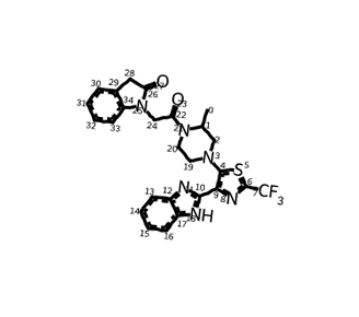 CC1CN(c2sc(C(F)(F)F)nc2-c2nc3ccccc3[nH]2)CCN1C(=O)CN1C(=O)Cc2ccccc21